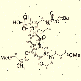 COCCCN1CCOc2ccc(CO[C@H]3CN(C(=O)OC(C)(C)C)CC[C@]3(OCC(C)(C)O)c3ccc(COCC(C)COC)cc3)cc21